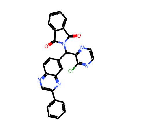 O=C1c2ccccc2C(=O)N1C(c1ccc2ncc(-c3ccccc3)nc2c1)c1nccnc1Cl